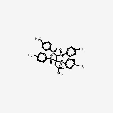 Cc1ccc(S(=O)(=O)C(C(OC(N)=O)(S(=O)(=O)c2ccc(C)cc2)S(=O)(=O)c2ccc(C)cc2)S(=O)(=O)c2ccc(C)cc2)cc1